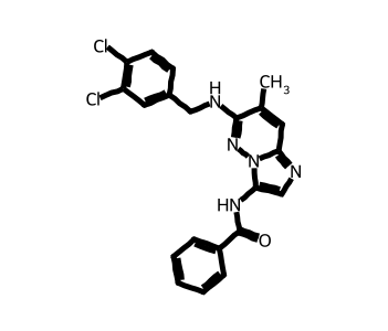 Cc1cc2ncc(NC(=O)c3ccccc3)n2nc1NCc1ccc(Cl)c(Cl)c1